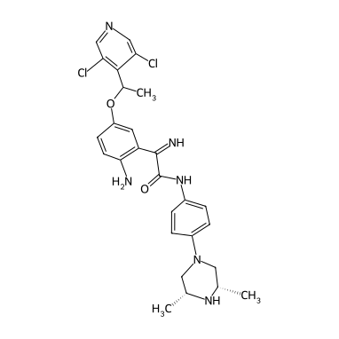 CC(Oc1ccc(N)c(C(=N)C(=O)Nc2ccc(N3C[C@@H](C)N[C@@H](C)C3)cc2)c1)c1c(Cl)cncc1Cl